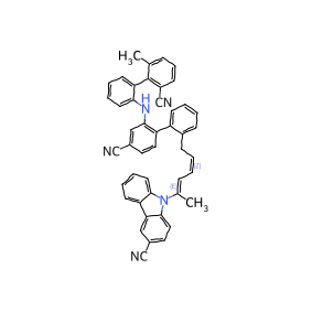 C/C(=C\C=C/Cc1ccccc1-c1ccc(C#N)cc1Nc1ccccc1-c1c(C)cccc1C#N)n1c2ccccc2c2cc(C#N)ccc21